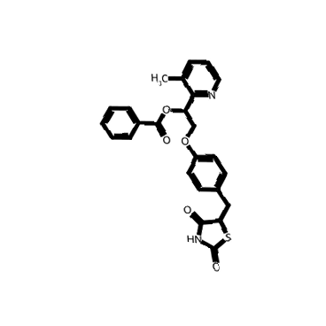 Cc1cccnc1C(COc1ccc(CC2SC(=O)NC2=O)cc1)OC(=O)c1ccccc1